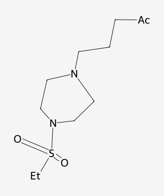 CCS(=O)(=O)N1CCN(CCCC(C)=O)CC1